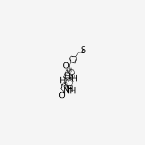 C[C@]12C=CC(=O)N[C@@H]1CC[C@@H]1[C@@H]2CC[C@]2(C)[C@@H](C(=O)c3ccc(CC=S)cc3)CC[C@@H]12